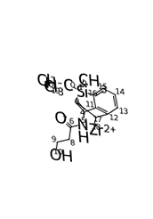 C[Si]1(C)C2=C(NC(=O)CCO)c3c(cccc31)[CH]2[Zr+2].[Cl-].[Cl-]